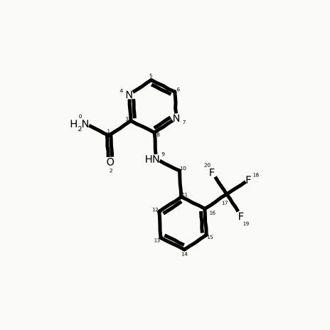 NC(=O)c1nccnc1NCc1ccccc1C(F)(F)F